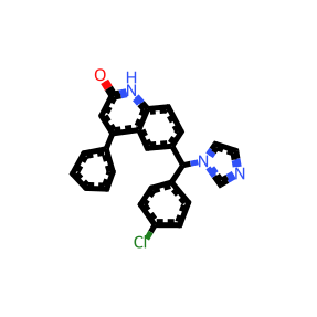 O=c1cc(-c2ccccc2)c2cc(C(c3ccc(Cl)cc3)n3ccnc3)ccc2[nH]1